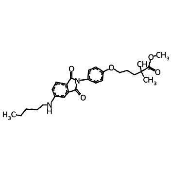 CCCCCNc1ccc2c(c1)C(=O)N(c1ccc(OCCCC(C)(C)C(=O)OC)cc1)C2=O